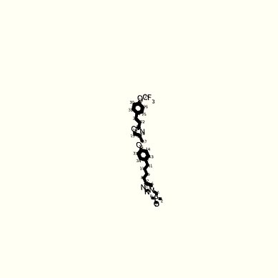 CP(C)(=O)Cn1cc(CCCCc2ccc(OCc3coc(/C=C/c4ccc(OC(F)(F)F)cc4)n3)cc2)nn1